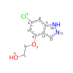 OCCOc1cc(Cl)cc2[nH]ncc12